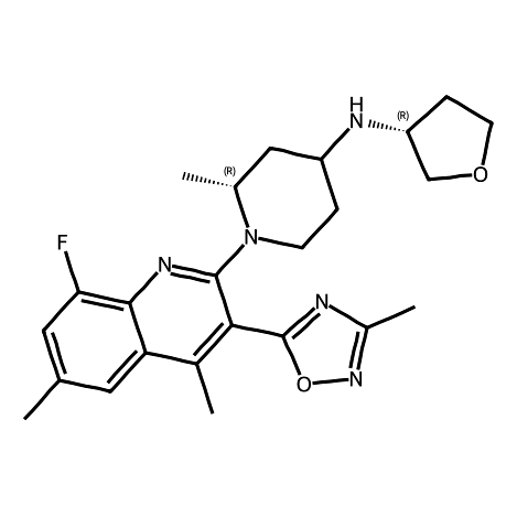 Cc1cc(F)c2nc(N3CCC(N[C@@H]4CCOC4)C[C@H]3C)c(-c3nc(C)no3)c(C)c2c1